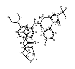 CCN(CC)c1ccc(C(=O)CN2C3CCC2CC(Cc2ccc(NC(=O)Nc4cc(C(C)(C)C)nn4-c4ccc(C)cc4)cc2)C3)cc1